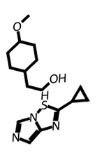 COC1CCC(CC(O)[SH]2C(C3CC3)=Nc3cncn32)CC1